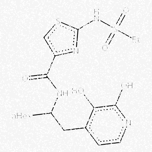 CCCCCCC(Cc1ccnc(O)c1O)NC(=O)c1csc(NS(=O)(=O)CC)n1